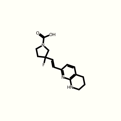 O=C(O)N1CCC(F)(C=Cc2ccc3c(n2)NCCC3)C1